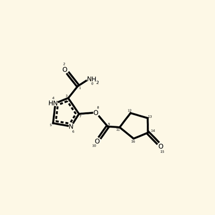 NC(=O)c1[nH]cnc1OC(=O)C1CCC(=O)C1